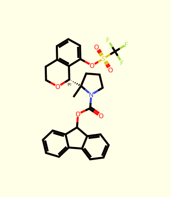 CC1([C@@H]2OCCc3cccc(OS(=O)(=O)C(F)(F)F)c32)CCCN1C(=O)OC1c2ccccc2-c2ccccc21